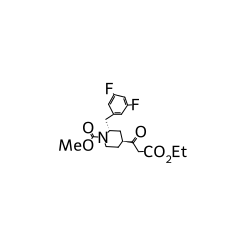 CCOC(=O)CC(=O)[C@H]1CCN(C(=O)OC)[C@H](Cc2cc(F)cc(F)c2)C1